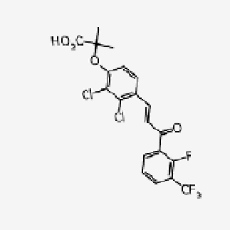 CC(C)(Oc1ccc(C=CC(=O)c2cccc(C(F)(F)F)c2F)c(Cl)c1Cl)C(=O)O